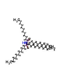 CCCCCCCCCCCP(=S)(CCCCCCCCCCC)NP(=S)(CCCCCCCCCCC)CCCCCCCCCCC